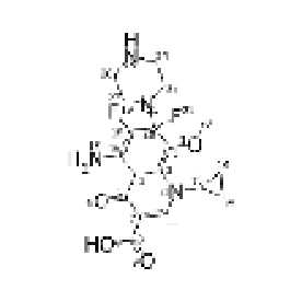 COC1=C2C(C(=O)C(C(=O)O)=CN2C2CC2)C(N)=C(F)C1(F)N1CCNCC1